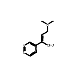 CN(C)CC=C(C=O)c1ccnnc1